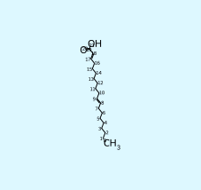 CCCCCCCCC=CCCCCCCCC=CC(=O)O